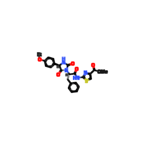 CCOc1ccc([C@H]2NC(=O)N([C@@H](Cc3ccccc3)C(=O)Nc3nc(C(=O)OC)cs3)C2=O)cc1